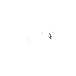 CCCCCC(C)C(CC(CCC)CCCCCCCC(C)OC(=O)C(CCC)C(C(=O)OC(C)C)C(C)(C)CCCC)C(=O)OCCCOc1ccc(C)cc1-n1nc2ccccc2n1